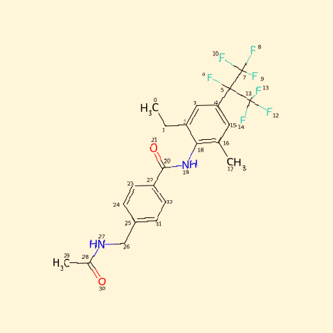 CCc1cc(C(F)(C(F)(F)F)C(F)(F)F)cc(C)c1NC(=O)c1ccc(CNC(C)=O)cc1